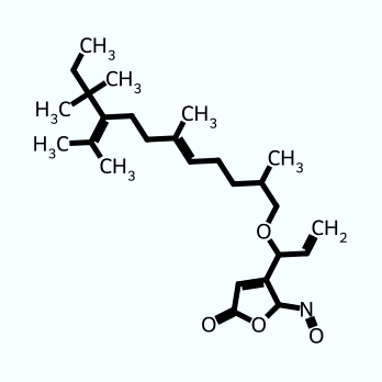 C=CC(OCC(C)CC/C=C(\C)CCC(=C(C)C)C(C)(C)CC)C1=CC(=O)OC1N=O